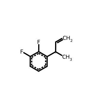 C=C[C](C)c1cccc(F)c1F